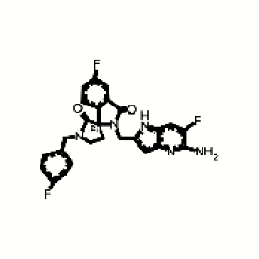 Nc1nc2cc(CN3C(=O)c4cc(F)ccc4[C@]34CCN(Cc3ccc(F)cc3)C4=O)[nH]c2cc1F